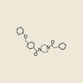 O=C(Cc1ccccc1)N1CCN(C(=O)c2ccc(COc3ccccc3)cc2)CC1